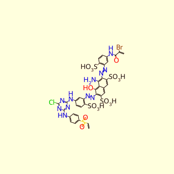 C=CS(=O)(=O)c1ccc(Nc2nc(Cl)nc(Nc3ccc(S(=O)(=O)O)c(/N=N/c4c(S(=O)(=O)O)cc5cc(S(=O)(=O)O)c(/N=N/c6cc(NC(=O)C(=C)Br)ccc6S(=O)(=O)O)c(N)c5c4O)c3)n2)cc1